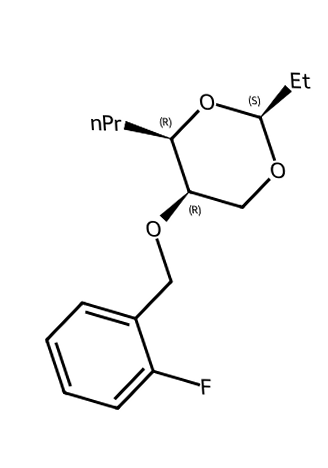 CCC[C@H]1O[C@@H](CC)OC[C@H]1OCc1ccccc1F